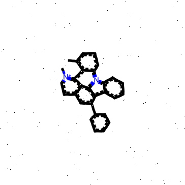 Cc1cccc2c1c1c3c(cc[n+]1C)cc(-c1ccccc1)c1c4ccccc4n2c13